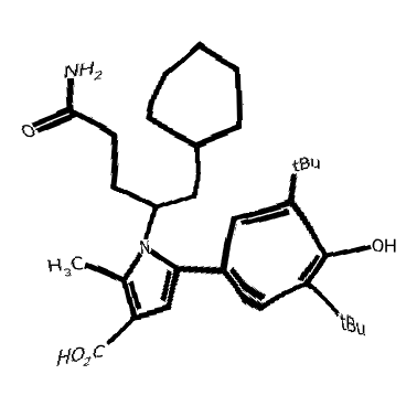 Cc1c(C(=O)O)cc(-c2cc(C(C)(C)C)c(O)c(C(C)(C)C)c2)n1C(CCC(N)=O)CC1CCCCC1